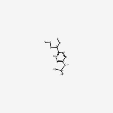 CCCC(CC)c1ncc(OC(F)I)cn1